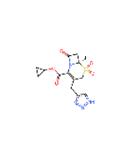 O=C(OC1CC1)C1=C(Cc2c[nH]nn2)CS(=O)(=O)[C@@H]2CC(=O)N12